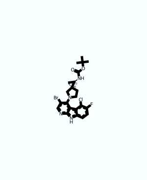 CC(C)(C)OC(=O)N[C@H]1C[C@@]12CCN(c1c(Br)cnc3[nH]c4[c]cc(F)c(Cl)c4c13)C2